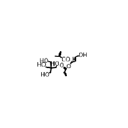 C=C(C)C(=O)O.C=CC(=O)OCC=CO.OCC(CO)(CO)CO